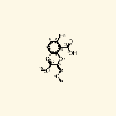 CO/C=C(/Oc1cccc(F)c1C(=O)O)C(=O)OC